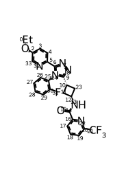 CCOc1ccc(-c2nnc([C@H]3C[C@H](NC(=O)c4cccc(C(F)(F)F)n4)C3)n2-c2ccccc2F)nc1